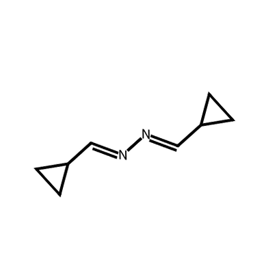 C(=NN=CC1CC1)C1CC1